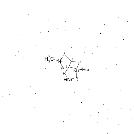 CN1CC2C[C@@H]3CNCC23C1